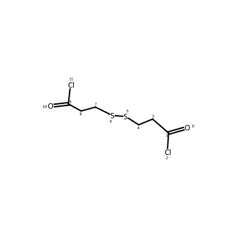 O=C(Cl)CCSSCCC(=O)Cl